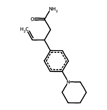 C=CC(CC(N)=O)c1ccc(N2CCCCC2)cc1